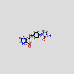 O=C1OC(=Nc2ccc(N3CCNC3=O)cc2)c2nccnc21